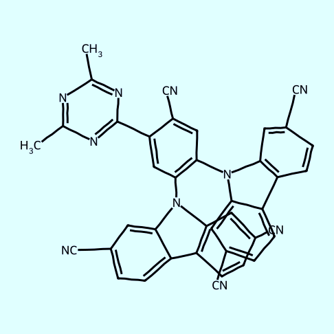 Cc1nc(C)nc(-c2cc(-n3c4cc(C#N)ccc4c4ccc(C#N)cc43)c(-n3c4cc(C#N)ccc4c4ccc(C#N)cc43)cc2C#N)n1